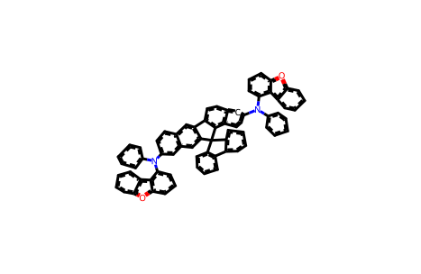 c1ccc(N(c2ccc3cc4c(cc3c2)C2(c3ccccc3-c3ccccc32)c2c-4ccc3cc(N(c4ccccc4)c4cccc5oc6ccccc6c45)ccc23)c2cccc3oc4ccccc4c23)cc1